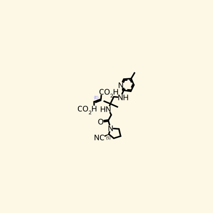 Cc1ccc(NCC(C)(C)NCC(=O)N2CCC[C@H]2C#N)nc1.O=C(O)/C=C/C(=O)O